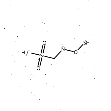 CS(=O)(=O)C[N+]OS